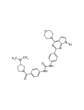 CCn1ccc2c(N3CCOCC3)nc(-c3ccc(NC(=O)Nc4ccc(C(=O)N5CCC(N(C)C)C5)cc4)cc3)nc21